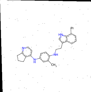 Cc1cc(Nc2ccnc3c2CCC3)ccc1NCCc1c[nH]c2c(C(C)C)cccc12